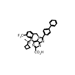 C[C@@H](Nc1nc(C(=O)O)nc2nc(-c3ccc(-c4ccccc4)cc3)n(Cc3ccc(C(F)(F)F)cc3)c12)C1CCC1